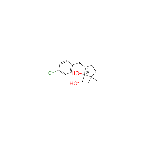 CC1(C)CC[C@H](Cc2ccc(Cl)cc2)[C@@]1(O)CO